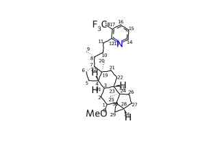 COC1C[C@H]2[C@@H]3CC[C@H]([C@H](C)CCc4ncccc4C(F)(F)F)[C@@]3(C)CC[C@@H]2[C@@]2(C)CC[C@@H]3CC132